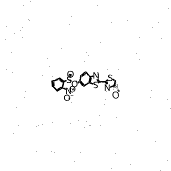 O=C[C@H]1CSC(c2nc3ccc(OS(=O)c4ccccc4[N+](=O)[O-])cc3s2)=N1